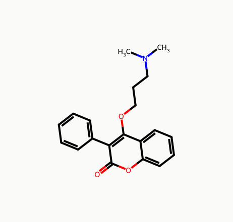 CN(C)CCCOc1c(-c2ccccc2)c(=O)oc2ccccc12